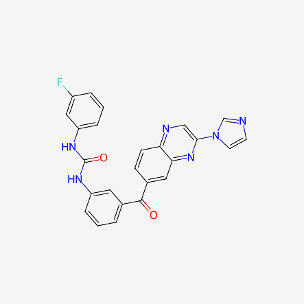 O=C(Nc1cccc(F)c1)Nc1cccc(C(=O)c2ccc3ncc(-n4ccnc4)nc3c2)c1